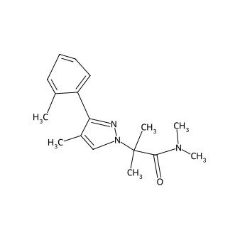 Cc1ccccc1-c1nn(C(C)(C)C(=O)N(C)C)cc1C